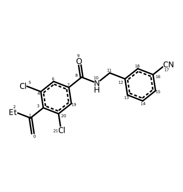 C=C(CC)c1c(Cl)cc(C(=O)NCc2cccc(C#N)c2)cc1Cl